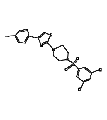 Cc1ccc(-c2csc(N3CCN(S(=O)(=O)c4cc(Cl)cc(Cl)c4)CC3)n2)cc1